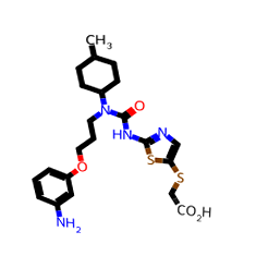 CC1CCC(N(CCCOc2cccc(N)c2)C(=O)Nc2ncc(SCC(=O)O)s2)CC1